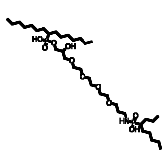 CCCCCCCC(CCCCCCC)P(=O)(O)OCC(O)COCCOCCOCCOCCCNP(=O)(O)C(CCC)CCCCC